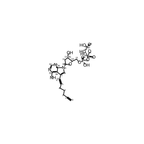 C#CCCCC#Cc1cn([C@H]2C[C@@H](O)C(COP(=O)(O)OP(=O)(O)OP(=O)(O)O)O2)c2ncnc(N)c12